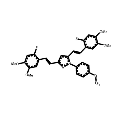 COc1cc(F)c(C=Cc2cc(C=Cc3cc(OC)c(OC)cc3F)n(-c3ccc(OC(F)(F)F)cc3)n2)cc1OC